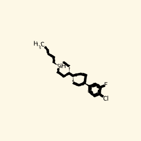 CCCCC[Si@H]1CC[C@H]([C@H]2CC[C@H](c3ccc(Cl)c(F)c3)CC2)CC1